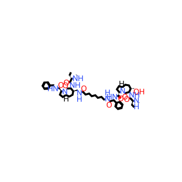 CC[C@H](NC)C(=O)N[C@@H]1C(=O)N2[C@@H](CC[C@@H]1CNC(=O)CCCCCCCNC(=O)[C@@H](NC(=O)[C@@H]1CC[C@@H]3CC[C@H](CO)[C@H](NC(=O)[C@H](CC)NC)C(=O)N31)c1ccccc1)CC[C@H]2C(=O)NCc1ccccc1